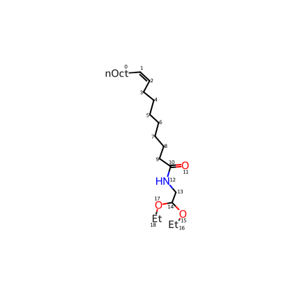 CCCCCCCC/C=C\CCCCCCCC(=O)NCC(OCC)OCC